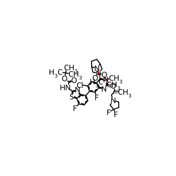 C[C@@H](CN1CCC(F)(F)C1)Oc1nc(N2CC3CCC(C2)N3C(=O)OC(C)(C)C)c2cc(Cl)c(-c3ccc(F)c4sc(NC(=O)OC(C)(C)C)nc34)c(F)c2n1